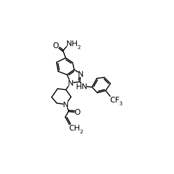 C=CC(=O)N1CCCC(n2c(Nc3cccc(C(F)(F)F)c3)nc3cc(C(N)=O)ccc32)C1